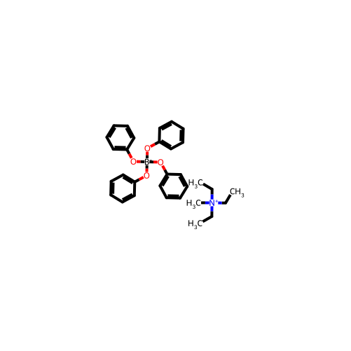 CC[N+](C)(CC)CC.c1ccc(O[B-](Oc2ccccc2)(Oc2ccccc2)Oc2ccccc2)cc1